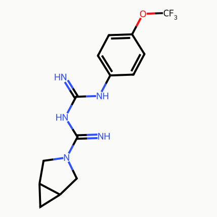 N=C(NC(=N)N1CC2CC2C1)Nc1ccc(OC(F)(F)F)cc1